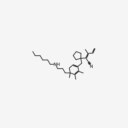 C=C/C(C)=C(\C#N)C1(CC2=CCC(C)(CCCNCCCCCC)C(C)=C2C)CCCC1